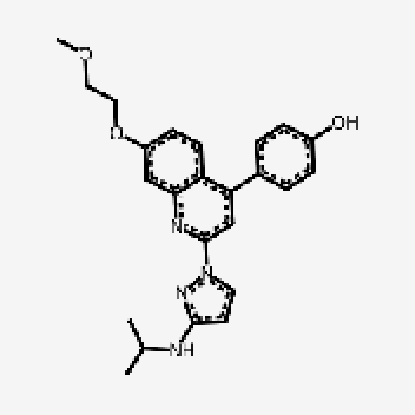 COCCOc1ccc2c(-c3ccc(O)cc3)cc(-n3ccc(NC(C)C)n3)nc2c1